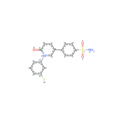 NS(=O)(=O)c1ccc(-c2ccc(=O)n(-c3cccc(F)c3)c2)cc1